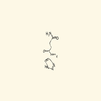 NC(=O)CCC(N)=O.c1c[nH]nn1